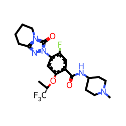 C[C@H](Oc1cc(-n2nc3n(c2=O)CCCC3)c(F)cc1C(=O)NC1CCN(C)CC1)C(F)(F)F